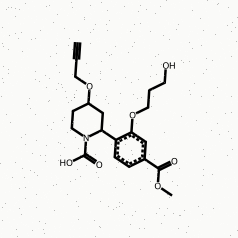 C#CCOC1CCN(C(=O)O)C(c2ccc(C(=O)OC)cc2OCCCO)C1